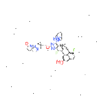 C#Cc1c(F)ccc2cc(O)cc(-c3ccc4c(N5CC6CCC(C5)N6)nc(OCC5(CN6CCC7(CCC(=O)N7)C6)CC5)nc4c3F)c12